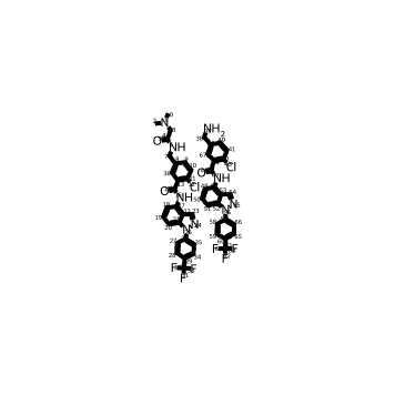 CN(C)CC(=O)NCc1ccc(Cl)c(C(=O)Nc2cccc3c2cnn3-c2ccc(C(F)(F)F)cc2)c1.NCc1ccc(Cl)c(C(=O)Nc2cccc3c2cnn3-c2ccc(C(F)(F)F)cc2)c1